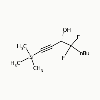 CCCCC(F)(F)[C@@H](O)C#C[Si](C)(C)C